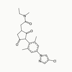 CCN(C)C(=O)CC1CC(=O)C(c2c(C)cc(-n3cc(Cl)cn3)cc2C)C1=O